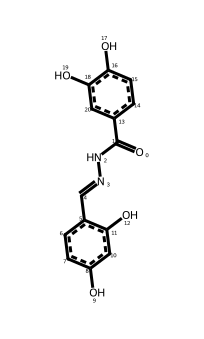 O=C(NN=Cc1ccc(O)cc1O)c1ccc(O)c(O)c1